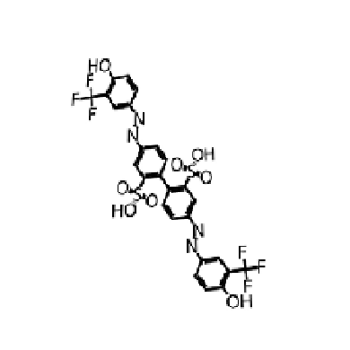 O=S(=O)(O)c1cc(N=Nc2ccc(O)c(C(F)(F)F)c2)ccc1-c1ccc(N=Nc2ccc(O)c(C(F)(F)F)c2)cc1S(=O)(=O)O